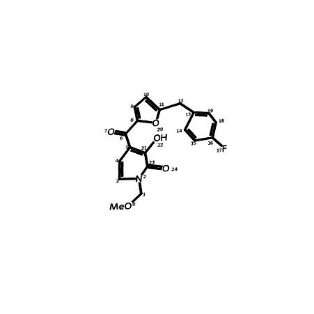 COCn1ccc(C(=O)c2ccc(Cc3ccc(F)cc3)o2)c(O)c1=O